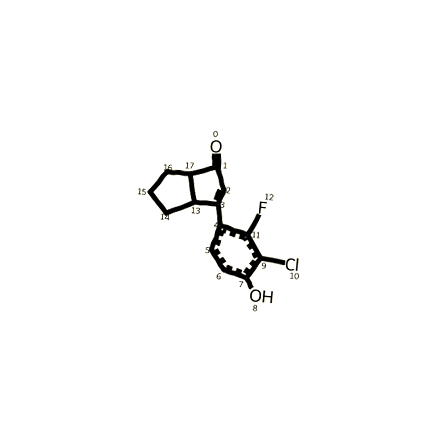 O=C1C=C(c2ccc(O)c(Cl)c2F)C2CCCC12